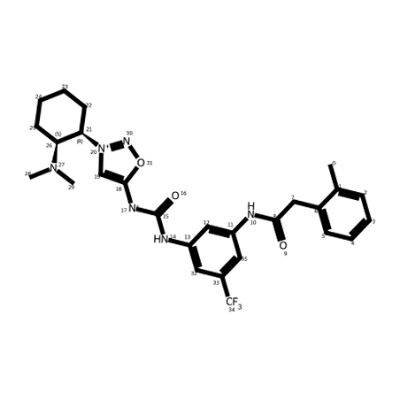 Cc1ccccc1CC(=O)Nc1cc(NC(=O)[N-]c2c[n+]([C@@H]3CCCC[C@@H]3N(C)C)no2)cc(C(F)(F)F)c1